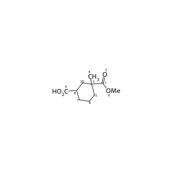 COC(=O)C1(C)CCCC(C(=O)O)C1